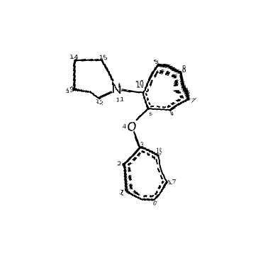 c1ccc(Oc2ccccc2N2CCCC2)cc1